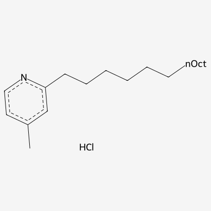 CCCCCCCCCCCCCCc1cc(C)ccn1.Cl